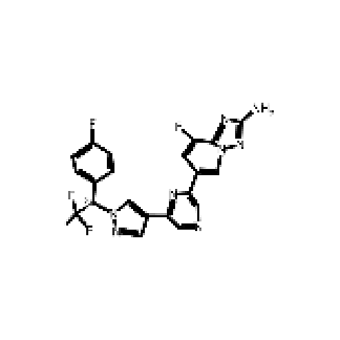 CC(F)(F)[C@@H](c1ccc(F)cc1)n1cc(-c2cncc(-c3cc(F)c4nc(N)nn4c3)n2)cn1